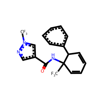 O=C(NC1(C(F)(F)F)C=CC=CC1c1ccccc1)c1cnn(C(F)(F)F)c1